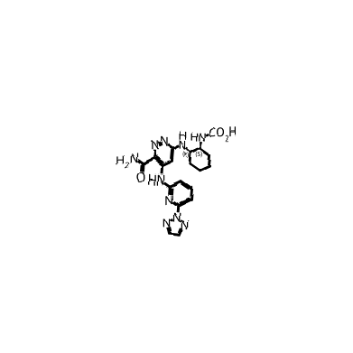 NC(=O)c1nnc(N[C@@H]2CCCC[C@@H]2NC(=O)O)cc1Nc1cccc(-n2nccn2)n1